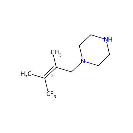 C/C(CN1CCNCC1)=C(\C)C(F)(F)F